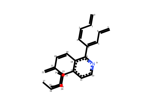 C=C/C=C\C(=C/C=C)c1nccc(C(=C)/C=C\C)c1/C=C\C(=C)/C=C\C